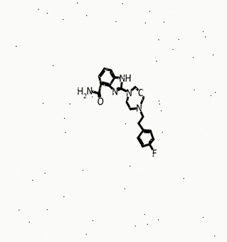 NC(=O)c1cccc2[nH]c(N3CCCN(CCc4ccc(F)cc4)CC3)nc12